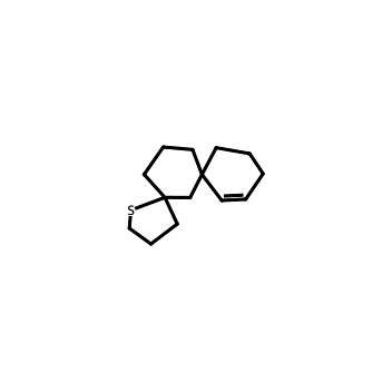 C1=CC2(CCC1)CCCC1(CCCS1)C2